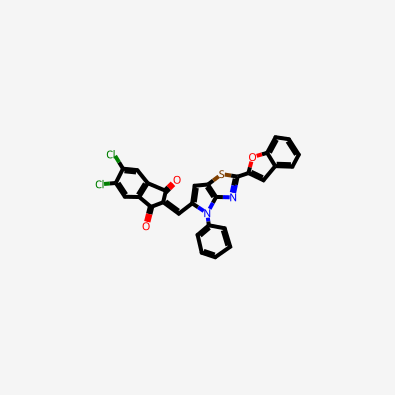 O=C1C(=Cc2cc3sc(-c4cc5ccccc5o4)nc3n2-c2ccccc2)C(=O)c2cc(Cl)c(Cl)cc21